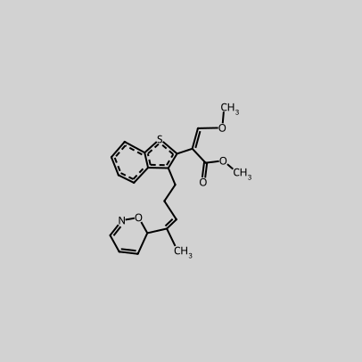 COC=C(C(=O)OC)c1sc2ccccc2c1CCC=C(C)C1C=CC=NO1